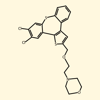 Clc1cc2c(cc1Cl)-c1sc(COCCN3CCOCC3)cc1-c1ccccc1S2